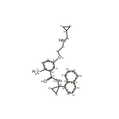 Cc1ccc(OCCNCC2CC2)cc1C(=O)NC1(c2cccc3ccccc23)CC1